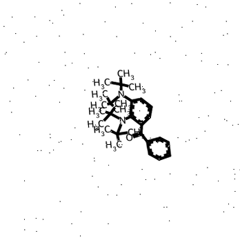 CC(C)(C)N(c1cccc(C(=O)c2ccccc2)c1N(C(C)(C)C)C(C)(C)C)C(C)(C)C